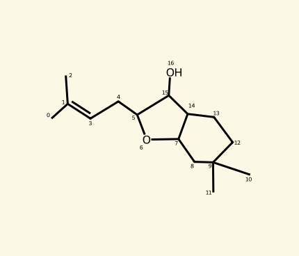 CC(C)=CCC1OC2CC(C)(C)CCC2C1O